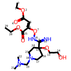 CCOC(=O)C=C(ONC(=N)C1(OCCO)CCN(CN(C)C)CC1)C(=O)OCC